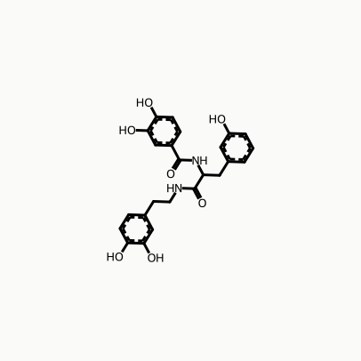 O=C(NC(Cc1cccc(O)c1)C(=O)NCCc1ccc(O)c(O)c1)c1ccc(O)c(O)c1